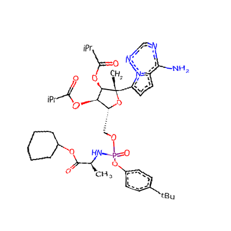 CC(C)C(=O)O[C@H]1[C@@H](OC(=O)C(C)C)[C@](C)(c2ccc3c(N)ncnn23)O[C@@H]1COP(=O)(N[C@@H](C)C(=O)OC1CCCCC1)Oc1ccc(C(C)(C)C)cc1